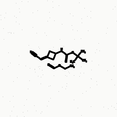 CC(C)(C)OC(=O)NC1CC(=CC#N)C1.CCOC=O